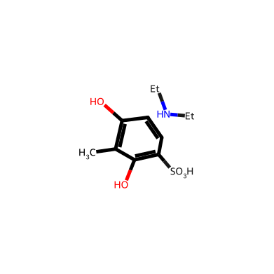 CCNCC.Cc1c(O)ccc(S(=O)(=O)O)c1O